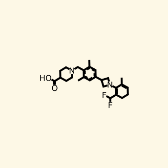 CC1=CCCC(C(F)F)=C1N1CC(c2cc(C)c(CN3CCC(C(=O)O)CC3)c(C)c2)C1